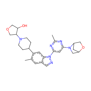 Cc1nc(N2CC3CC2CO3)cc(-n2ncc3cc(C)c(C4CCN(C5COCC5O)CC4)cc32)n1